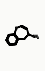 NN1C=CSc2ccccc2C1